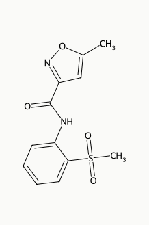 Cc1cc(C(=O)Nc2ccccc2S(C)(=O)=O)no1